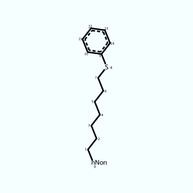 CCCCCCCCCCCCCCCCSc1cc[c]cc1